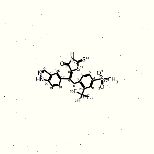 CS(=O)(=O)c1ccc(CC(=C2SC(=S)NC2=O)c2ccc3[nH]ncc3c2)c(C(F)(F)F)c1